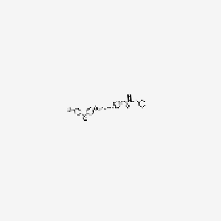 O=C(CN1CCN(CCCCCOc2ccc(C(=O)c3ccc(Cl)cc3)cc2)CC1)NCCc1ccccc1